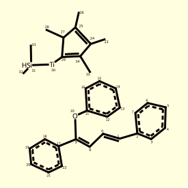 C(=Cc1ccccc1)C=C(Oc1ccccc1)c1ccccc1.CC1=C(C)C(C)[C]([Ti][SiH](C)C)=C1C